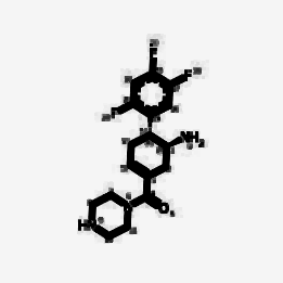 N[C@H]1CC(C(=O)N2CCNCC2)=CC[C@@H]1c1cc(F)c(F)cc1F